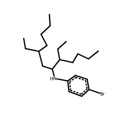 CCCCC(CC)CC(Nc1ccc(Br)cc1)C(CC)CCCC